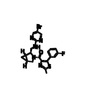 Cc1nc(C(=O)N2C[C@@H]3C[C@@H]3[C@H]2CNc2ncc(Br)cn2)c(-c2cccc(F)c2)s1